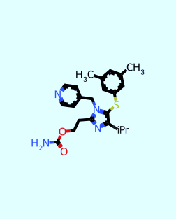 Cc1cc(C)cc(Sc2c(C(C)C)nc(CCOC(N)=O)n2Cc2ccncc2)c1